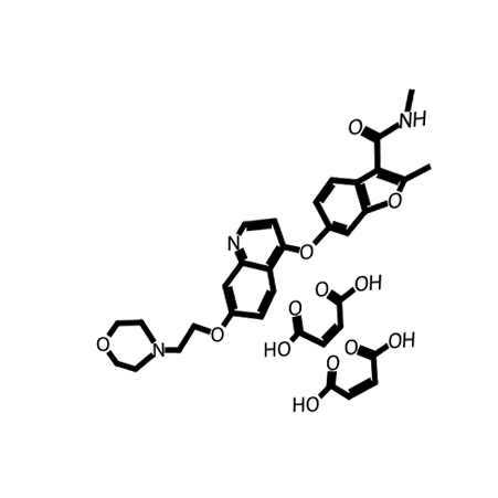 CNC(=O)c1c(C)oc2cc(Oc3ccnc4cc(OCCN5CCOCC5)ccc34)ccc12.O=C(O)/C=C\C(=O)O.O=C(O)/C=C\C(=O)O